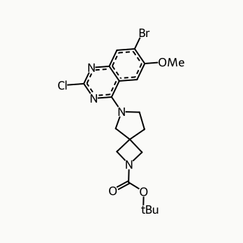 COc1cc2c(N3CCC4(CN(C(=O)OC(C)(C)C)C4)C3)nc(Cl)nc2cc1Br